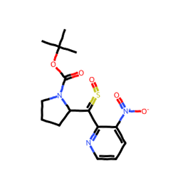 CC(C)(C)OC(=O)N1CCCC1C(=S=O)c1ncccc1[N+](=O)[O-]